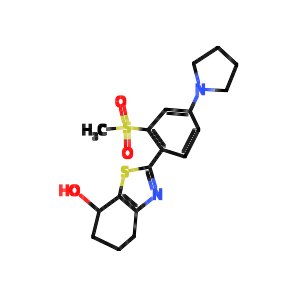 CS(=O)(=O)c1cc(N2CCCC2)ccc1-c1nc2c(s1)C(O)CCC2